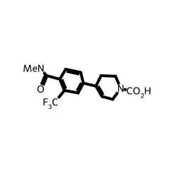 CNC(=O)c1ccc(C2=CCN(C(=O)O)CC2)cc1C(F)(F)F